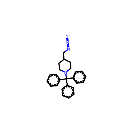 [N-]=[N+]=NCC1CCN(C(c2ccccc2)(c2ccccc2)c2ccccc2)CC1